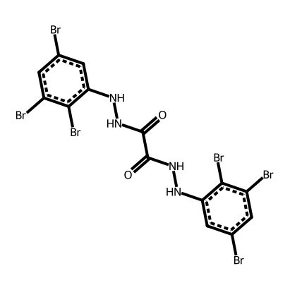 O=C(NNc1cc(Br)cc(Br)c1Br)C(=O)NNc1cc(Br)cc(Br)c1Br